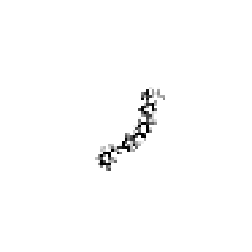 COC1CCN(Cc2ccc(-c3ccc(OCc4ccc(F)cc4)nn3)cc2)CC1